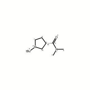 CN(C)C(=O)[C@H]1CCN(C(C)(C)C)C1